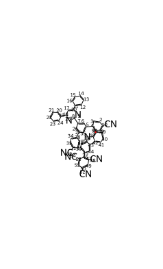 N#Cc1ccc(-c2cc(-c3nc(-c4ccccc4)cc(-c4ccccc4)n3)cc(-c3ccc(C#N)cc3)c2-n2c3ccccc3c3cc(-c4c(C#N)cc(C#N)cc4C#N)ccc32)cc1